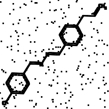 C=CCc1ccc(C=NN=Cc2ccc(Cl)cc2)cc1